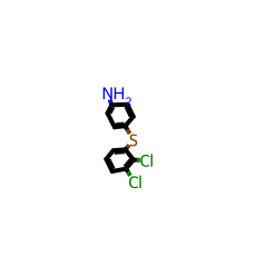 Nc1ccc(Sc2cccc(Cl)c2Cl)cc1